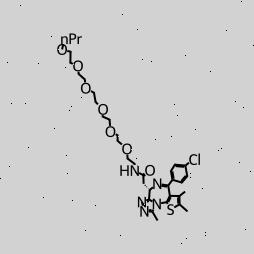 CCCOCCOCCOCCOCCOCCOCCNC(=O)C[C@@H]1N=C(c2ccc(Cl)cc2)c2c(sc(C)c2C)-n2c(C)nnc21